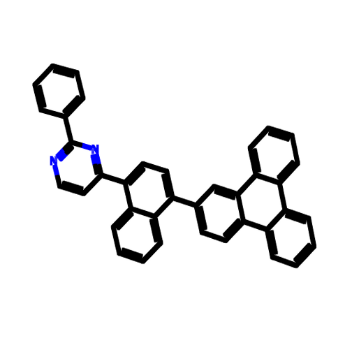 c1ccc(-c2nccc(-c3ccc(-c4ccc5c6ccccc6c6ccccc6c5c4)c4ccccc34)n2)cc1